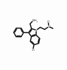 C[S+]([O-])CCn1c(CN)c(-c2ccccc2)c2cc(Cl)ccc21